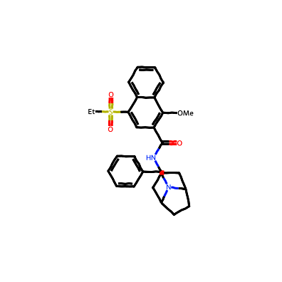 CCS(=O)(=O)c1cc(C(=O)NC2CC3CCC(C2)N3Cc2ccccc2)c(OC)c2ccccc12